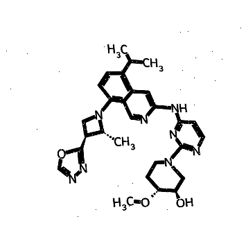 CO[C@@H]1CCN(c2nccc(Nc3cc4c(C(C)C)ccc(N5C[C@H](c6nnco6)[C@H]5C)c4cn3)n2)C[C@H]1O